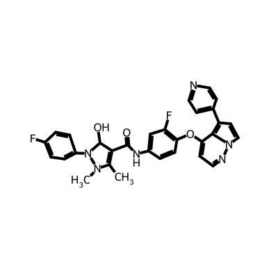 CC1=C(C(=O)Nc2ccc(Oc3ccnn4ccc(-c5ccncc5)c34)c(F)c2)C(O)N(c2ccc(F)cc2)N1C